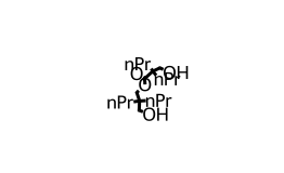 CCCC(CO)(CCC)COC(=O)C(CO)(CCC)CCC